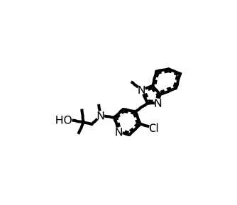 CN(CC(C)(C)O)c1cc(-c2nc3ccccc3n2C)c(Cl)cn1